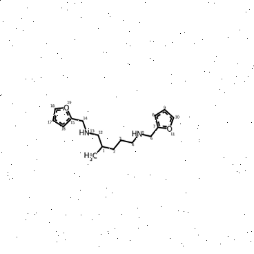 CC(CCCNCc1ccco1)CNCc1ccco1